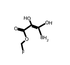 B/C(O)=C(/O)C(=O)OCF